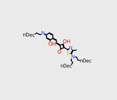 CCCCCCCCCCCC/N=C1C=C/C(=C/C=C2/C(=O)C(c3nc(C)c(N(CCCCCCCCCCCC)CCCCCCCCCCCC)s3)=C2O)C(O)=C/1